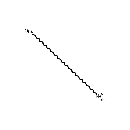 O=C=NCCCCCCCCCCCCCCCCCCCCCCCCCCCCCCCCCCCCNC(=S)S